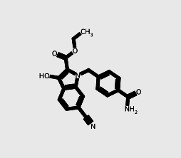 CCOC(=O)c1c(O)c2ccc(C#N)cc2n1Cc1ccc(C(N)=O)cc1